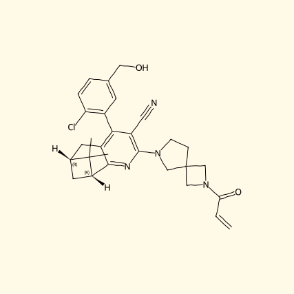 C=CC(=O)N1CC2(CCN(c3nc4c(c(-c5cc(CO)ccc5Cl)c3C#N)C[C@H]3C[C@@H]4C3(C)C)C2)C1